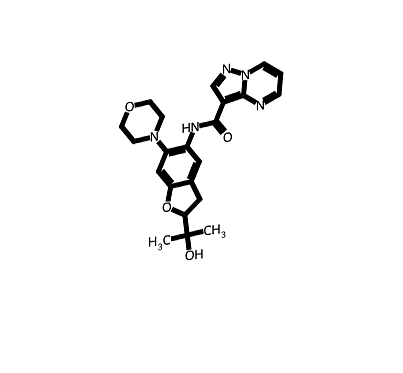 CC(C)(O)C1Cc2cc(NC(=O)c3cnn4cccnc34)c(N3CCOCC3)cc2O1